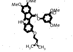 COc1cc(OC)cc(ON=C2c3cc(OC)c(OC)cc3-c3[nH]c4ccc(OCCN(C)C)cc4c32)c1.Cl